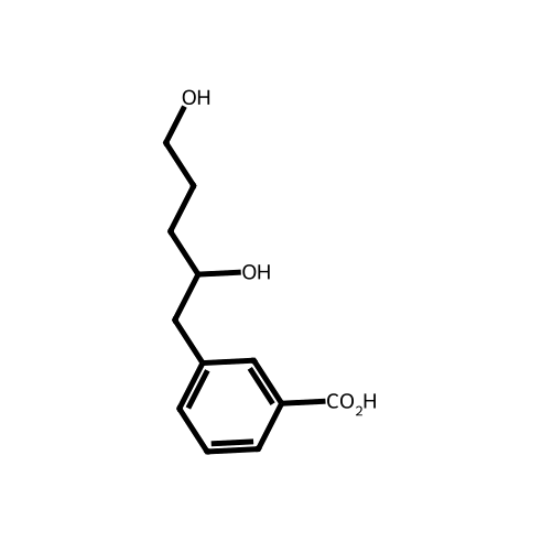 O=C(O)c1cccc(CC(O)CCCO)c1